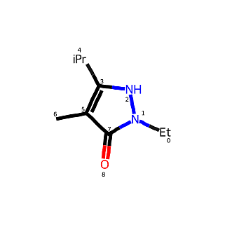 CCn1[nH]c(C(C)C)c(C)c1=O